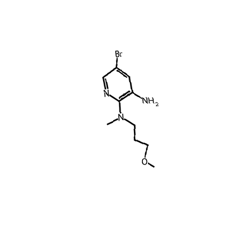 COCCCN(C)c1ncc(Br)cc1N